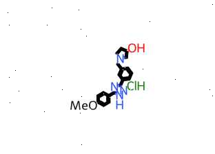 COc1ccc(-c2nc(-c3cccc(CN4CCC(O)C4)c3)n[nH]2)cc1.Cl